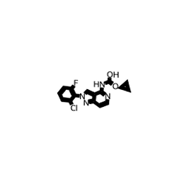 C1CC1.O=C(O)Nc1nccc2nn(-c3c(F)cccc3Cl)cc12